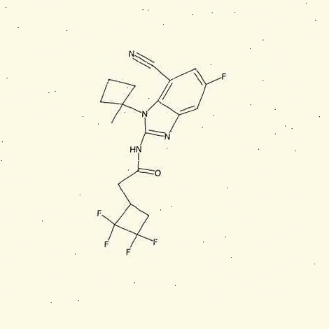 CC1(n2c(NC(=O)CC3CC(F)(F)C3(F)F)nc3cc(F)cc(C#N)c32)CCC1